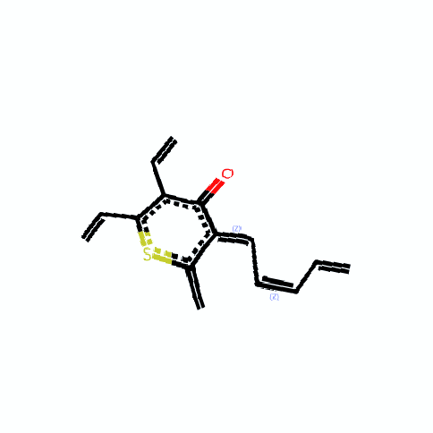 C=C/C=C\C=c1/c(=C)sc(C=C)c(C=C)c1=O